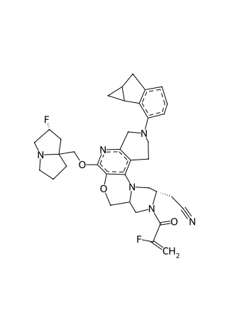 C=C(F)C(=O)N1CC2COc3c(OCC45CCCN4C[C@H](F)C5)nc4c(c3N2C[C@@H]1CC#N)CCN(c1cccc2c1C1CC1C2)C4